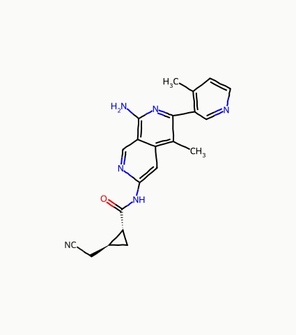 Cc1ccncc1-c1nc(N)c2cnc(NC(=O)[C@@H]3C[C@H]3CC#N)cc2c1C